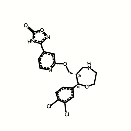 O=c1[nH]c(-c2ccnc(OC[C@@H]3CNCCO[C@H]3c3ccc(Cl)c(Cl)c3)c2)no1